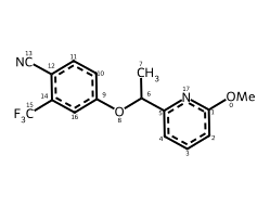 COc1cccc(C(C)Oc2ccc(C#N)c(C(F)(F)F)c2)n1